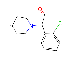 O=CC(c1ccccc1Cl)N1CC[CH]CC1